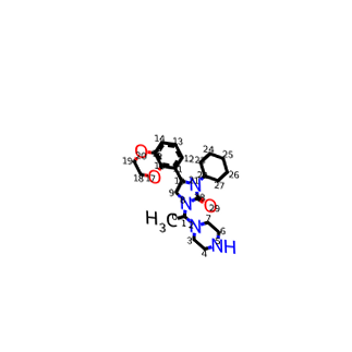 CC(N1CCNCC1)N1CC(c2cccc3c2OCCO3)N(C2CCCCC2)C1=O